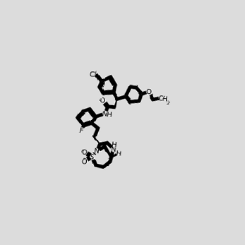 CCOC1CCC([C@@H](CC(=O)Nc2cccc(F)c2CC[C@H]2CN[C@@H]3CCCS(=O)(=O)N2C3)c2ccc(Cl)cc2)CC1